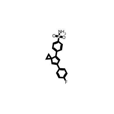 NS(=O)(=O)c1ccc(C2=CC(c3ccc(F)cc3)=CC23CC3)cc1